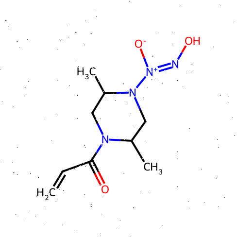 C=CC(=O)N1CC(C)N([N+]([O-])=NO)CC1C